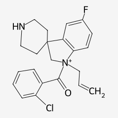 C=CC[N+]1(C(=O)c2ccccc2Cl)CC2(CCNCC2)c2cc(F)ccc21